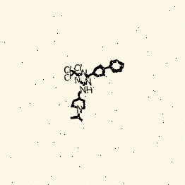 CC(C)N1CCC(CNc2nc(-c3ccc(-c4ccccc4)cc3)nc(C(Cl)(Cl)Cl)n2)CC1